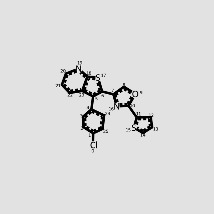 Clc1ccc(-c2c(-c3coc(-c4cccs4)n3)sc3ncccc23)cc1